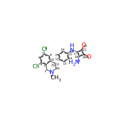 CN1Cc2c(Cl)cc(Cl)cc2[C@H](c2ccc(Nc3c(N)c(=O)c3=O)cc2)C1